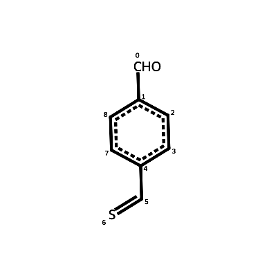 O=Cc1ccc(C=S)cc1